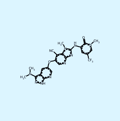 CN(C)c1n[nH]c2ncc(Oc3cnc4nc(Nc5cc(C(F)(F)F)cn(C)c5=O)n(C)c4c3C#N)cc12